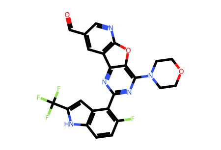 O=Cc1cnc2oc3c(N4CCOCC4)nc(-c4c(F)ccc5[nH]c(C(F)(F)F)cc45)nc3c2c1